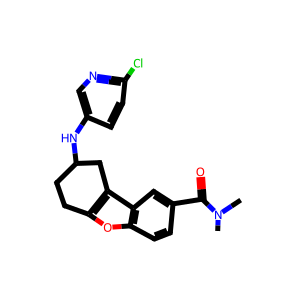 CN(C)C(=O)c1ccc2oc3c(c2c1)CC(Nc1ccc(Cl)nc1)CC3